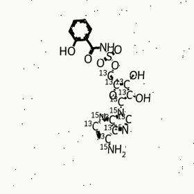 [15NH2][13c]1c[13cH][15n][13c]2[13c]1[15n][13cH][15n]2[13C@@H]1O[13CH]([13CH2]OS(=O)(=O)NC(=O)c2ccccc2O)[13C@@H](O)[13C@H]1O